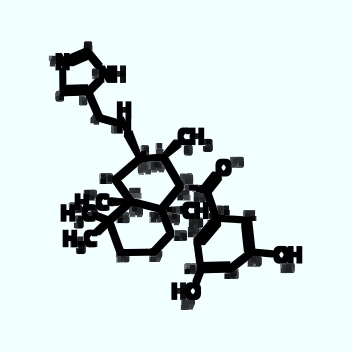 C[C@@H]1[C@H](NCc2cnc[nH]2)C[C@@]2(C)C(C)(C)CCC[C@]2(C)[C@H]1C(=O)c1cc(O)cc(O)c1